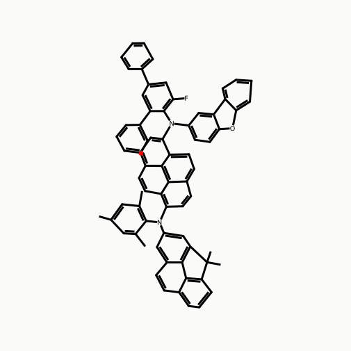 Cc1cc(C)c(N(c2cc3c4c(ccc5cccc(c54)C3(C)C)c2)c2ccc3ccc4c(N(c5ccc6oc7ccccc7c6c5)c5c(F)cc(-c6ccccc6)cc5-c5ccccc5)ccc5ccc2c3c54)c(C)c1